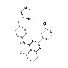 N/N=C(\N)Cc1ccc(Nc2nc(-c3cccc(Cl)c3)nc3c2[S+]([O-])CCC3)cc1